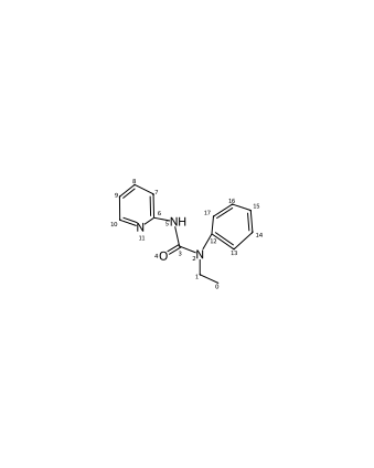 CCN(C(=O)Nc1ccccn1)c1ccccc1